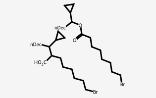 CCCCCCCCCCC(C1CC1)C(CCCCCCBr)C(=O)O.CCCCCCCCCCC(OC(=O)CCCCCCCBr)C1CC1